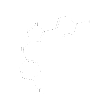 FC(F)(F)c1ccc(N=S2C=NC(c3ccc(Br)cc3)=C2)cc1